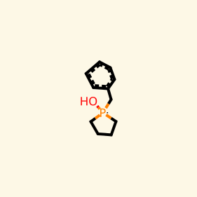 O[P]1(Cc2ccccc2)CCCC1